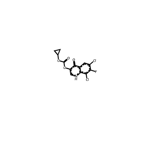 O=C(Oc1c[nH]c2c(Cl)c(F)c(Cl)cc2c1=O)OC1CC1